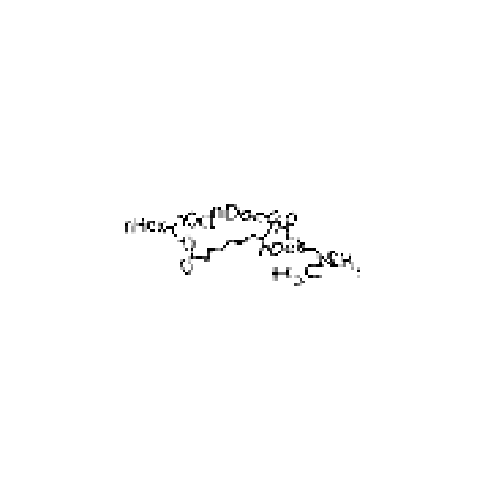 CCCCCCCCCCON(C(=O)CCCCN(C)C)C(CCCCC=CC(=O)OCC(CCCCCC)CCCCCCCC)CCCCCCCCCC